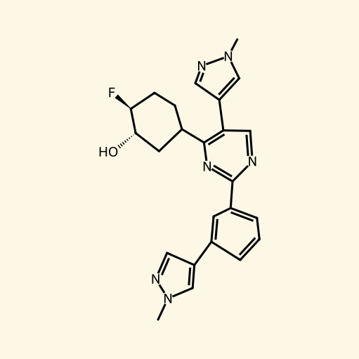 Cn1cc(-c2cccc(-c3ncc(-c4cnn(C)c4)c(C4CC[C@H](F)[C@@H](O)C4)n3)c2)cn1